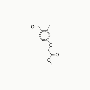 COC(=O)COc1ccc(C=O)c(C)c1